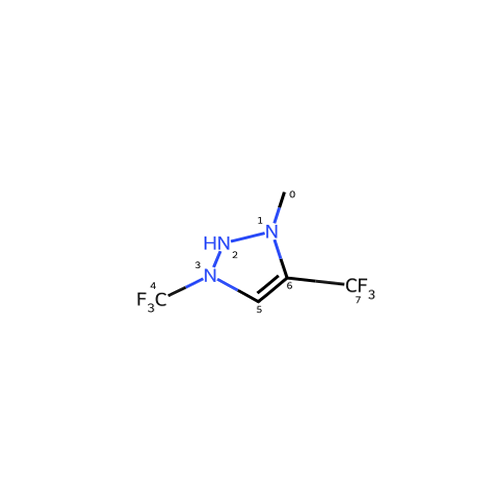 CN1NN(C(F)(F)F)C=C1C(F)(F)F